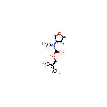 CC(C)COC(=O)N(C)C1CCOC1